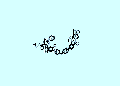 NC(=O)c1cnc(N2CCCCC2)nc1Nc1ccc(N2CCC(CN3CCN(c4ccc5c(c4)C(=O)N(C4CCC(=O)NC4=O)C5=O)CC3)CC2)c(F)c1